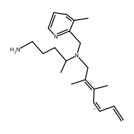 C=C/C=C\C(C)=C(/C)CN(Cc1ncccc1C)C(C)CCCN